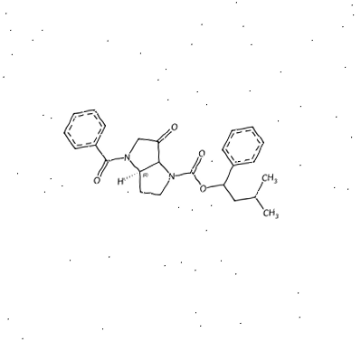 CC(C)CC(OC(=O)N1CC[C@@H]2C1C(=O)CN2C(=O)c1ccccc1)c1ccccc1